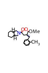 COC(=O)/C(=C/c1ccccc1C)CC(=O)N1C[C@H]2CCCC[C@H]2C1